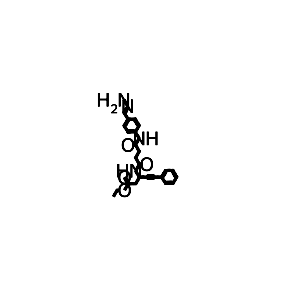 CCOC(=O)CC(C#Cc1ccccc1)NC(=O)CCC(=O)Nc1ccc(C=NN)cc1